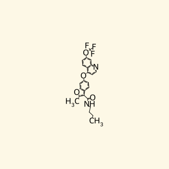 CCCCNC(=O)c1c(C)oc2cc(Oc3ccnc4cc(OC(F)(F)F)ccc34)ccc12